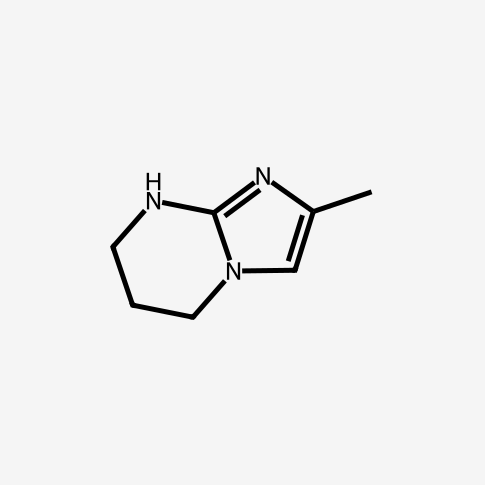 Cc1cn2c(n1)NCCC2